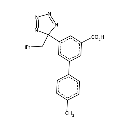 Cc1ccc(-c2cc(C(=O)O)cc(C3(CC(C)C)N=NN=N3)c2)cc1